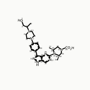 CC(CO)N1CCN(c2ccc(-c3n[nH]c4cnc(N5[C@H](C)CN(C(=O)O)C[C@@H]5C)nc34)cc2)CC1